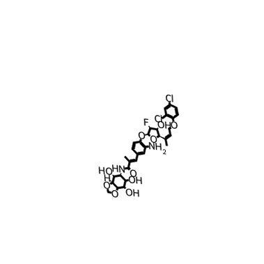 C/C(=C/COc1ccc(Cl)cc1Cl)[C@H]1O[C@@H](Oc2ccc(/C=C(\C)C(=O)N[C@@H]3C(O)C(O)C4OCO[C@H]4[C@@H]3O)cc2N)[C@H](F)[C@@H]1O